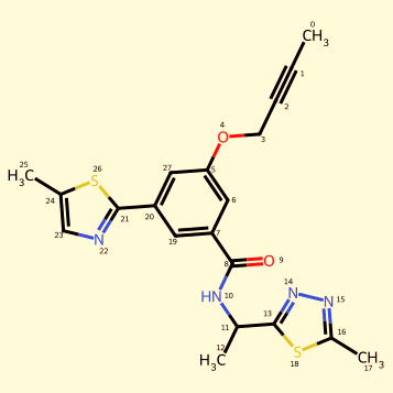 CC#CCOc1cc(C(=O)NC(C)c2nnc(C)s2)cc(-c2ncc(C)s2)c1